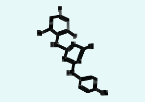 N#Cc1ccc(Nc2nc(Cl)nc(Nc3c(F)cc(F)cc3Br)n2)cc1